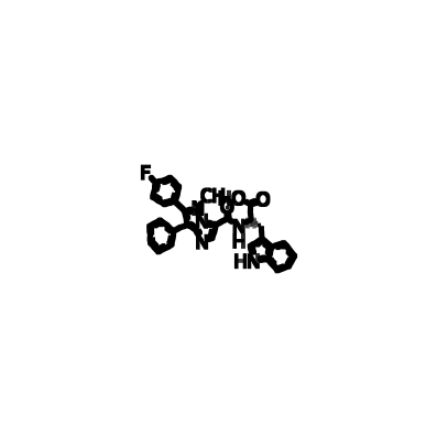 Cn1c(-c2ccc(F)cc2)c(-c2ccccc2)c2ncc(C(=O)N[C@@H](Cc3c[nH]c4ccccc34)C(=O)O)n21